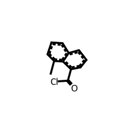 Cc1cccc2cccc(C(=O)Cl)c12